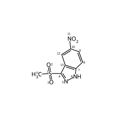 CS(=O)(=O)c1n[nH]c2ccc([N+](=O)[O-])[c]c12